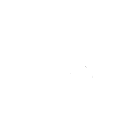 CC(C)c1ccc2c(C(F)(F)F)c(CNC(=O)C3(C)CC3)[nH]c2c1